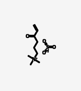 C=CC(=O)CCC[N+](C)(C)C.O=[SH](=O)[O-]